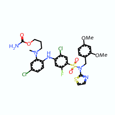 COc1ccc(CN(c2nccs2)S(=O)(=O)c2cc(Cl)c(Nc3ccc(Cl)cc3N(C)CCCOC(N)=O)cc2F)c(OC)c1